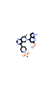 CCOc1cc(N2Cc3c(ncnc3C3CCN(S(C)(=O)=O)CC3)C[C@H]2C)c2cc[nH]c2n1